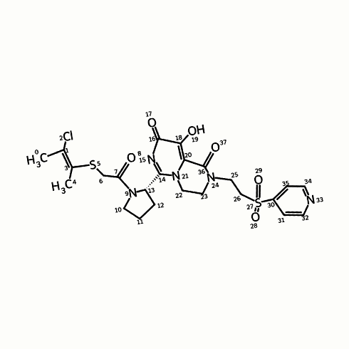 C/C(Cl)=C(\C)SCC(=O)N1CCC[C@H]1c1nc(=O)c(O)c2n1CCN(CCS(=O)(=O)c1ccncc1)C2=O